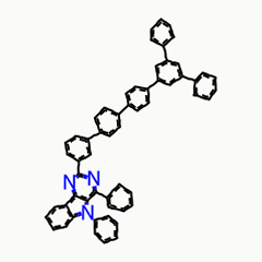 c1ccc(-c2cc(-c3ccccc3)cc(-c3ccc(-c4ccc(-c5cccc(-c6nc(-c7ccccc7)c7c(n6)c6ccccc6n7-c6ccccc6)c5)cc4)cc3)c2)cc1